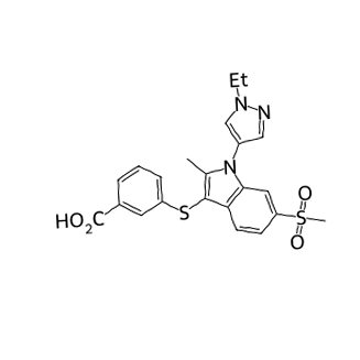 CCn1cc(-n2c(C)c(Sc3cccc(C(=O)O)c3)c3ccc(S(C)(=O)=O)cc32)cn1